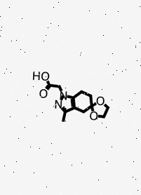 Cc1nn(CC(=O)O)c2c1CC1(CC2)OCCO1